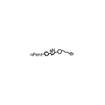 CCCCCc1ccc(-c2ccc(C3CCC(CCCCBr)CC3)nn2)cc1